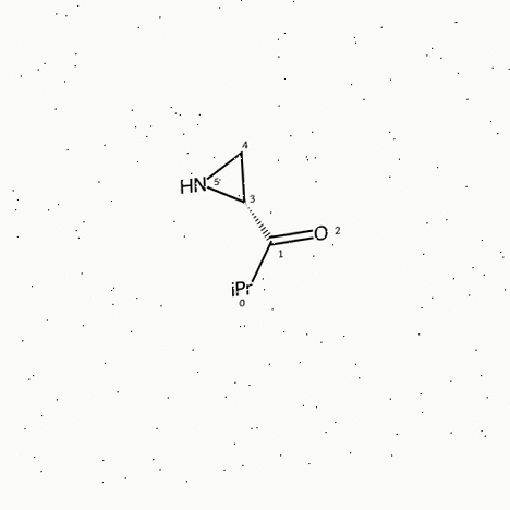 CC(C)C(=O)[C@H]1CN1